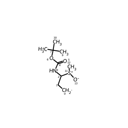 [CH2]CC(NC(=O)OC(C)(C)C)[S+](C)[O-]